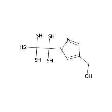 OCc1cnn(C(S)(S)C(S)(S)S)c1